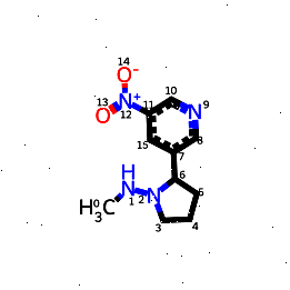 CNN1CCCC1c1cncc([N+](=O)[O-])c1